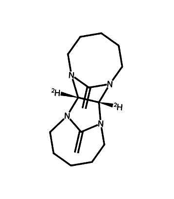 [2H][C@]12N3CCCCCN(C3=C)[C@@]1([2H])N1CCCCCN2C1=C